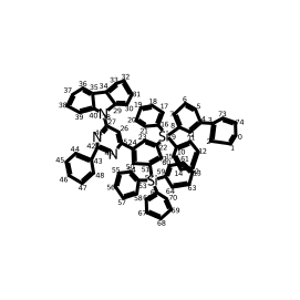 c1ccc(-c2cccc([Si](c3ccccc3)(c3ccccc3)c3cc(-c4cc(-n5c6ccccc6c6ccccc65)nc(-c5ccccc5)n4)cc([Si](c4ccccc4)(c4ccccc4)c4ccccc4)c3)c2)cc1